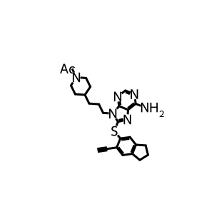 C#Cc1cc2c(cc1Sc1nc3c(N)ncnc3n1CCCC1CCN(C(C)=O)CC1)CCC2